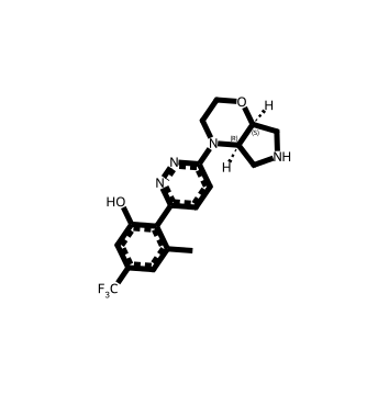 Cc1cc(C(F)(F)F)cc(O)c1-c1ccc(N2CCO[C@H]3CNC[C@H]32)nn1